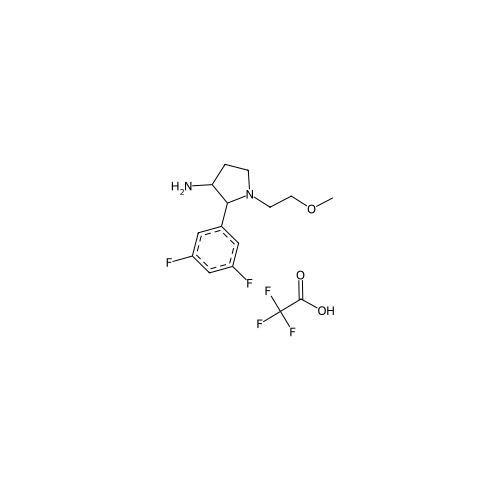 COCCN1CCC(N)C1c1cc(F)cc(F)c1.O=C(O)C(F)(F)F